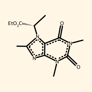 CCOC(=O)[C@H](C)n1c(C)nc2c1c(=O)n(C)c(=O)n2C